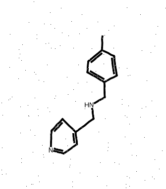 [CH2]c1ccc(CNCc2ccncc2)cc1